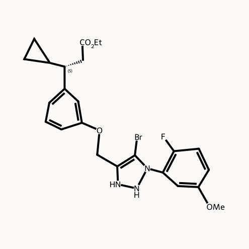 CCOC(=O)C[C@H](c1cccc(OCC2=C(Br)N(c3cc(OC)ccc3F)NN2)c1)C1CC1